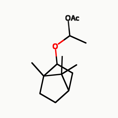 CC(=O)OC(C)OC1CC2CCC1(C)C2(C)C